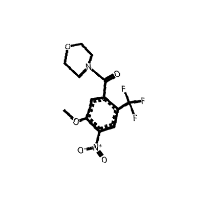 COc1cc(C(=O)N2CCOCC2)c(C(F)(F)F)cc1[N+](=O)[O-]